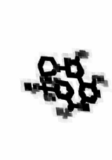 C=C(Nc1cnc(C)c(-c2cc(CCC)nc(N3CCCCC3)c2)c1)c1ccnc(C(C)(C)C#N)c1